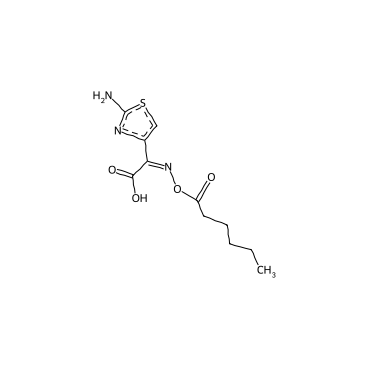 CCCCCC(=O)ON=C(C(=O)O)c1csc(N)n1